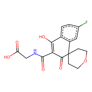 O=C(O)CNC(=O)C1=C(O)c2ccc(F)cc2C2(CCOCC2)C1=O